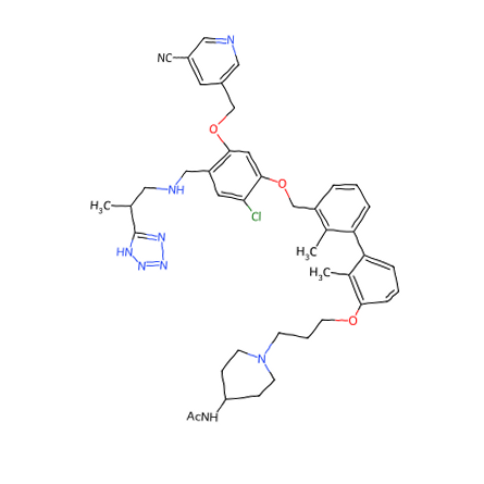 CC(=O)NC1CCN(CCCOc2cccc(-c3cccc(COc4cc(OCc5cncc(C#N)c5)c(CNCC(C)c5nnn[nH]5)cc4Cl)c3C)c2C)CC1